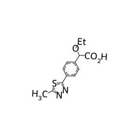 CCOC(C(=O)O)c1ccc(-c2nnc(C)s2)cc1